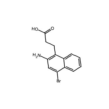 Nc1cc(Br)c2ccccc2c1CCC(=O)O